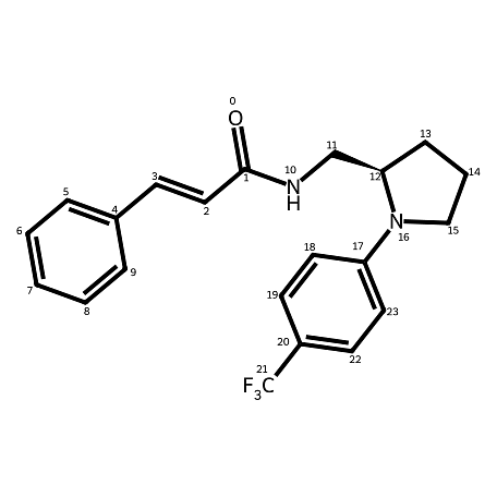 O=C(/C=C/c1ccccc1)NC[C@H]1CCCN1c1ccc(C(F)(F)F)cc1